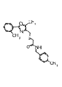 Cc1ccc(CNC(=O)CSCc2nc(-c3ccccc3C)oc2C)cc1